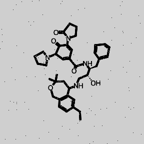 CCc1ccc2c(c1)C(NC[C@@H](O)[C@H](Cc1ccccc1)NC(=O)C1=CC(N3CCCC3)C(=O)C(N3CCCC3=O)=C1)CC(C)(C)OC2